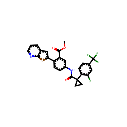 COC(=O)c1cc(NC(=O)C2(c3ccc(C(F)(F)F)cc3F)CC2)ccc1-c1cc2cccnc2s1